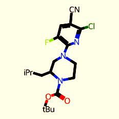 CC(C)CC1CN(c2nc(Cl)c(C#N)cc2F)CCN1C(=O)OC(C)(C)C